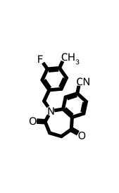 Cc1ccc(CN2C(=O)CCC(=O)c3ccc(C#N)cc32)cc1F